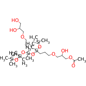 CC(=O)OCC(O)COCCC[Si](C)(O[Si](C)(C)C)O[Si](C)(CCCOCC(O)CO)O[Si](C)(C)O[Si](C)(C)C